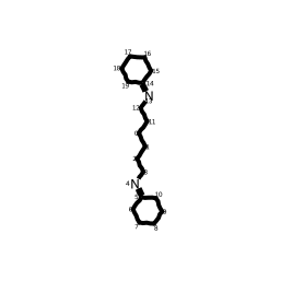 C(CCCN=C1CCCCC1)CCN=C1CCCCC1